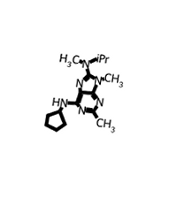 Cc1nc(NC2CCCC2)c2nc(N(C)C(C)C)n(C)c2n1